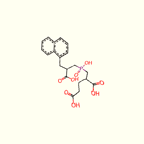 O=C(O)CCC(CP(=O)(O)CC(Cc1cccc2ccccc12)C(=O)O)C(=O)O